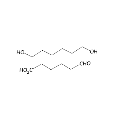 O=CCCCCC(=O)O.OCCCCCCO